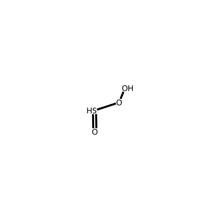 O=[SH]OO